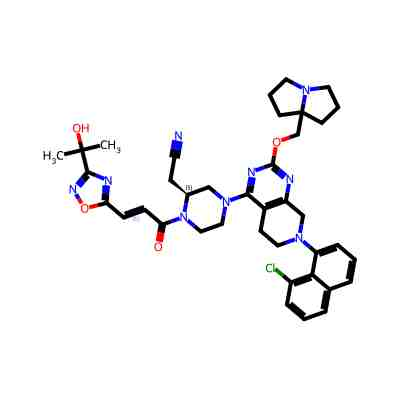 CC(C)(O)c1noc(/C=C/C(=O)N2CCN(c3nc(OCC45CCCN4CCC5)nc4c3CCN(c3cccc5cccc(Cl)c35)C4)C[C@@H]2CC#N)n1